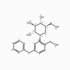 OCc1ccc(Cc2cccnc2)cc1[C@@H]1O[C@H](CO)[C@@H](O)[C@H](O)[C@H]1O